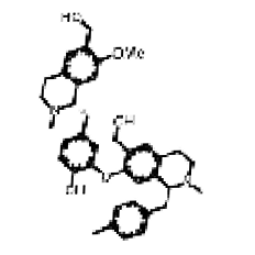 COc1cc2c(cc1CO)CCN(C)[C@H]2Cc1ccc(O)c(Oc2cc3c(cc2CO)CCN(C)[C@H]3Cc2ccc(C)cc2)c1